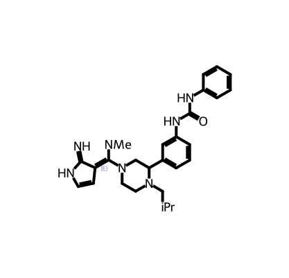 CN/C(=C1/C=CNC1=N)N1CCN(CC(C)C)C(c2cccc(NC(=O)Nc3ccccc3)c2)C1